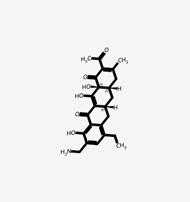 CCc1cc(CN)c(O)c2c1C[C@H]1C[C@H]3CC(C)=C(C(C)=O)C(=O)[C@@]3(O)C(O)=C1C2=O